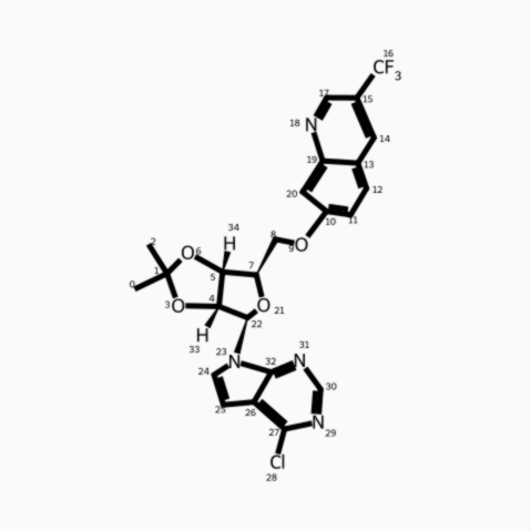 CC1(C)O[C@@H]2[C@H](O1)[C@@H](COc1ccc3cc(C(F)(F)F)cnc3c1)O[C@H]2n1ccc2c(Cl)ncnc21